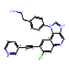 NCCc1ccc(-n2cnc3cnc4cc(Cl)c(C#Cc5cccnc5)cc4c32)cc1